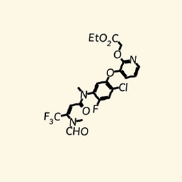 CCOC(=O)COc1ncccc1Oc1cc(N(C)C(=O)/C=C(\N(C)C=O)C(F)(F)F)c(F)cc1Cl